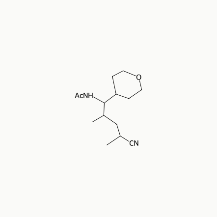 CC(=O)NC(C(C)CC(C)C#N)C1CCOCC1